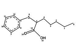 CCCCCC(Sc1ccccc1)C(=O)O